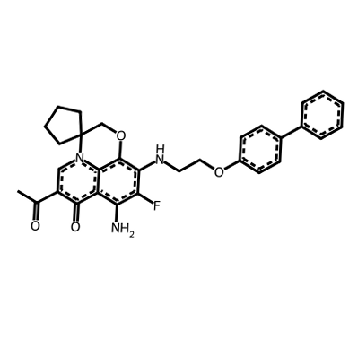 CC(=O)c1cn2c3c(c(NCCOc4ccc(-c5ccccc5)cc4)c(F)c(N)c3c1=O)OCC21CCCC1